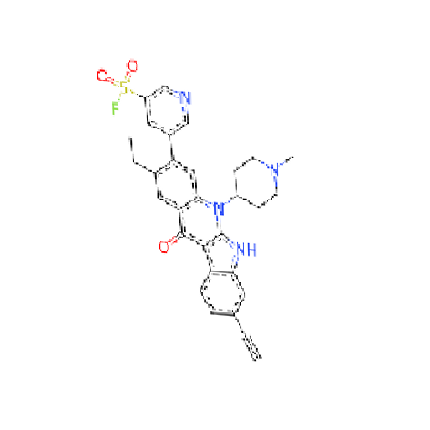 C#Cc1ccc2c(c1)[nH]c1c2c(=O)c2cc(CC)c(-c3cncc(S(=O)(=O)F)c3)cc2n1C1CCN(C)CC1